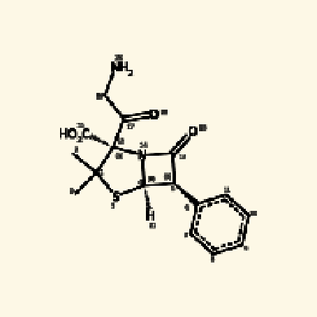 CC1(C)S[C@@H]2[C@H](c3ccccc3)C(=O)N2[C@]1(C(=O)O)C(=O)CN